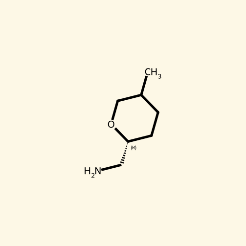 CC1CC[C@H](CN)OC1